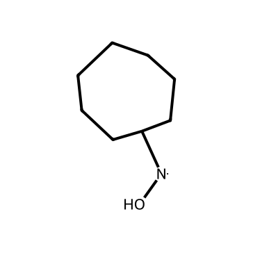 O[N]C1CCCCCCC1